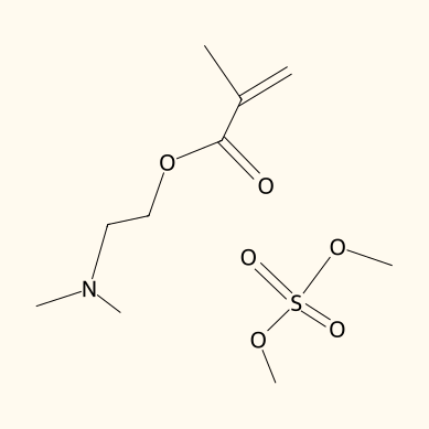 C=C(C)C(=O)OCCN(C)C.COS(=O)(=O)OC